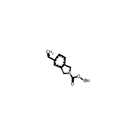 C=Cc1ccc2c(c1)CN(C(=O)OC(C)(C)C)C2